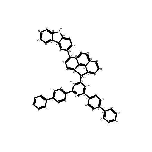 c1ccc(-c2ccc(-c3nc(-c4ccc(-c5ccccc5)cc4)nc(-n4c5cccc6ccc7c(-c8ccc9sc%10ccccc%10c9c8)ccc4c7c65)n3)cc2)cc1